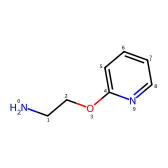 NCCOc1cc[c]cn1